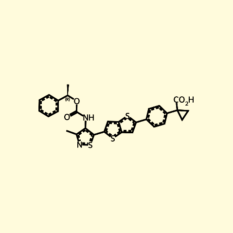 Cc1nsc(-c2cc3sc(-c4ccc(C5(C(=O)O)CC5)cc4)cc3s2)c1NC(=O)O[C@H](C)c1ccccc1